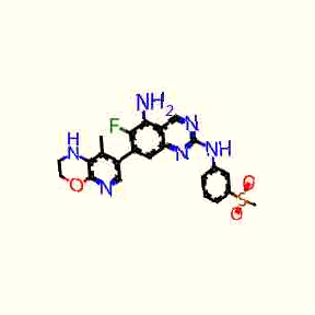 Cc1c(-c2cc3nc(Nc4cccc(S(C)(=O)=O)c4)ncc3c(N)c2F)cnc2c1NCCO2